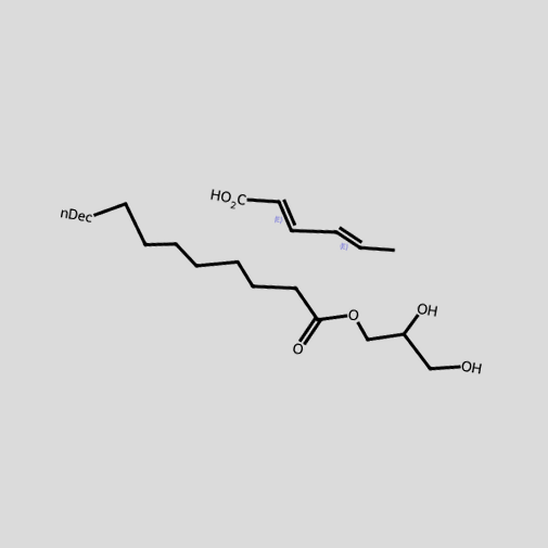 C/C=C/C=C/C(=O)O.CCCCCCCCCCCCCCCCCC(=O)OCC(O)CO